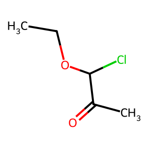 CCOC(Cl)C(C)=O